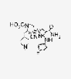 CN1CCC(CC2[C@@H](C#N)[C@H](n3cc(C(N)=O)c(Nc4ccc(F)cc4)n3)CCN2C(=O)O)CC1